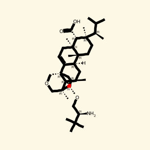 CC(C)[C@@H](C)[C@@]1(C)CC[C@]2(C)[C@H]3CC[C@@H]4[C@@]5(COC[C@]4(C)[C@@H](OC[C@@H](N)C(C)(C)C)[C@H](C)C5)C3=CC[C@@]2(C)[C@@H]1C(=O)O